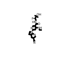 CCNc1cc(-n2ccc3cc(C#N)cnc32)ncc1C(=O)NC[C@@H](F)C(C)(C)O